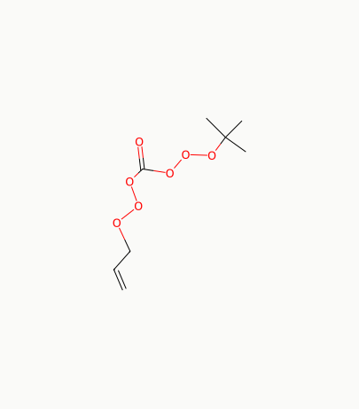 C=CCOOOC(=O)OOOC(C)(C)C